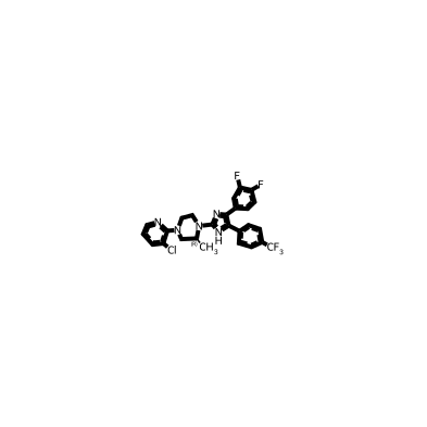 C[C@@H]1CN(c2ncccc2Cl)CCN1c1nc(-c2ccc(F)c(F)c2)c(-c2ccc(C(F)(F)F)cc2)[nH]1